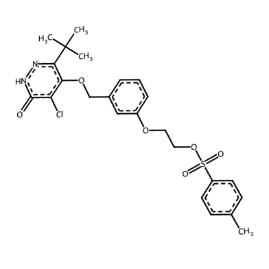 Cc1ccc(S(=O)(=O)OCCOc2cccc(COc3c(C(C)(C)C)n[nH]c(=O)c3Cl)c2)cc1